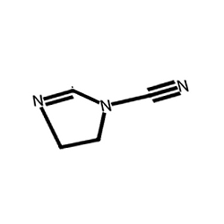 N#CN1[C]=NCC1